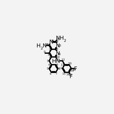 Cc1c(Cc2ccccc2)c(NCc2ccc(F)c(F)c2)nc2nc(N)nc(N)c12